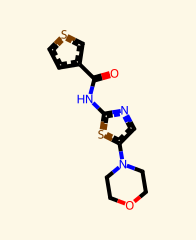 O=C(Nc1ncc(N2CCOCC2)s1)c1ccsc1